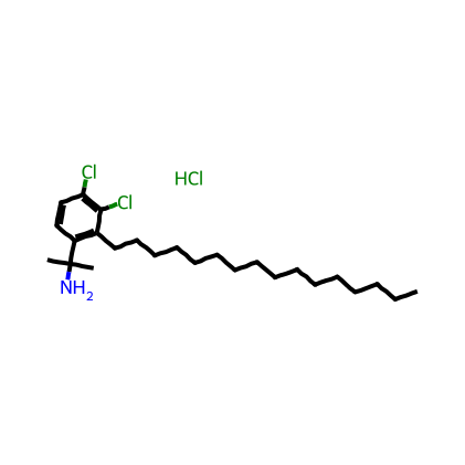 CCCCCCCCCCCCCCCCc1c(C(C)(C)N)ccc(Cl)c1Cl.Cl